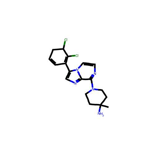 CC1(N)CCN(c2nccn3c(C4=C(Cl)C(Cl)CC=C4)cnc23)CC1